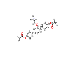 C=C(C)C(=O)Oc1ccc(-c2ccc(-c3ccc(OC(=O)C(=C)C)cc3)c(OC/C=C/C)c2)cc1